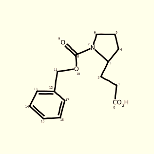 O=C(O)CCC1CCCN1C(=O)OCc1ccccc1